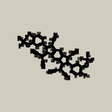 N#CC(C#N)=C1C(c2ccc(F)c(OC(F)(F)F)c2)=C(C#N)c2cc3c(cc21)C(=C(C#N)C#N)C(c1ccc(F)c(OC(F)(F)F)c1)=C3C#N